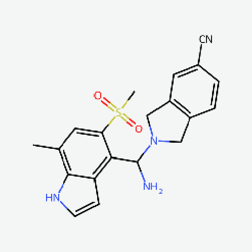 Cc1cc(S(C)(=O)=O)c(C(N)N2Cc3ccc(C#N)cc3C2)c2cc[nH]c12